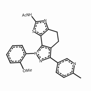 COc1ccccc1-n1nc(-c2ccc(C)nc2)c2c1-c1sc(NC(C)=O)nc1CC2